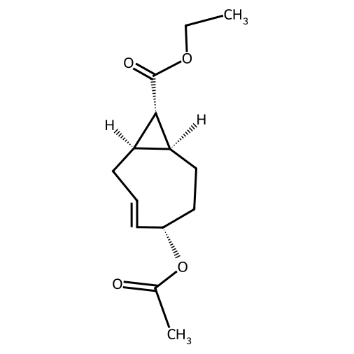 CCOC(=O)[C@H]1[C@@H]2C/C=C/[C@@H](OC(C)=O)CC[C@@H]21